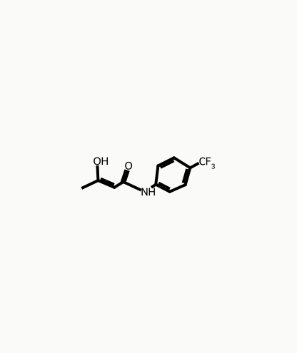 CC(O)=CC(=O)Nc1ccc(C(F)(F)F)cc1